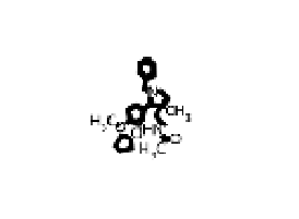 COc1ccc(C2N(Cc3ccccc3)CC[C@]2(C)CCNC(C)=O)cc1OC1CCCC1